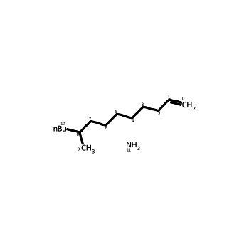 C=CCCCCCCC(C)CCCC.N